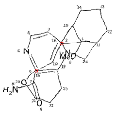 COC1(c2ccnc(C(N)=O)c2)C2CCCC1CN(C1=COCCC1)C2